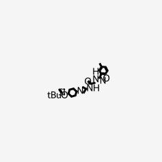 Cc1ccc2onc(NCC(=O)NC3CN(C4CCC(O[Si](C)(C)C(C)(C)C)CC4)C3)c2c1